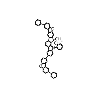 CC1(C)c2cc3oc4ccc(-c5ccccc5)cc4c3cc2-c2ccc3c4cc(-c5ccc6oc7ccc(-c8ccccc8)cc7c6c5)ccc4n(-c4ccccc4)c3c21